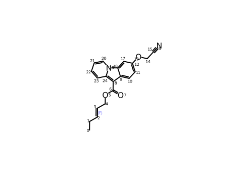 CC/C=C/COC(=O)c1c2ccc(OCC#N)cc2n2ccccc12